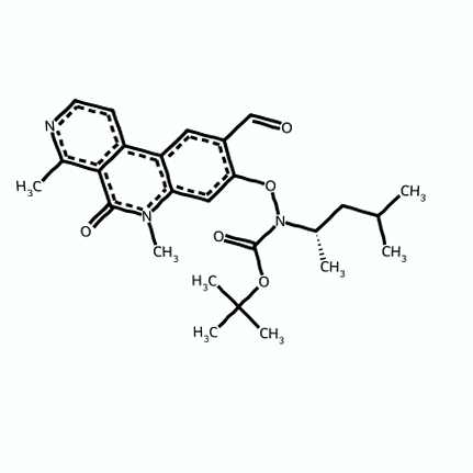 Cc1nccc2c1c(=O)n(C)c1cc(ON(C(=O)OC(C)(C)C)[C@@H](C)CC(C)C)c(C=O)cc21